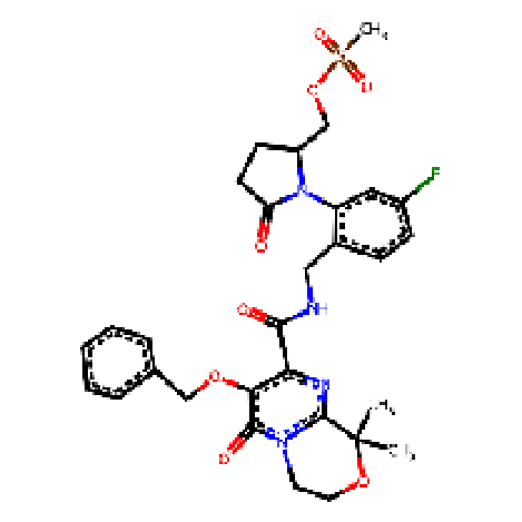 CC1(C)OCCn2c1nc(C(=O)NCc1ccc(F)cc1N1C(=O)CCC1COS(C)(=O)=O)c(OCc1ccccc1)c2=O